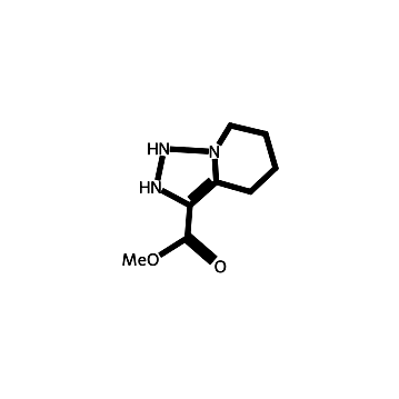 COC(=O)C1=C2CCCCN2NN1